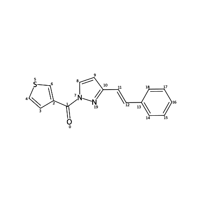 O=C(c1ccsc1)n1ccc(C=Cc2ccccc2)n1